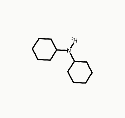 [2H]N(C1CCCCC1)C1CCCCC1